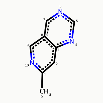 Cc1cc2ncncc2cn1